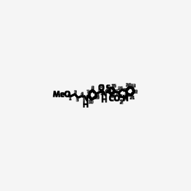 COCCCCNc1ccc(C(=O)Nc2scc(C3CCc4ccccc4C3)c2C(=O)O)cc1